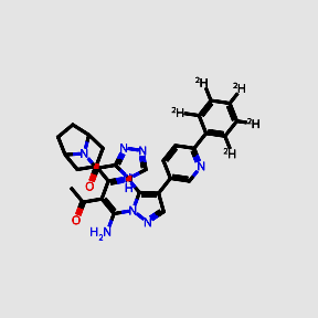 [2H]c1c([2H])c([2H])c(-c2ccc(-c3cnn4c(N)c(C(C)=O)c(C5CC6CCC(C5)N6C(=O)c5nnc[nH]5)nc34)cn2)c([2H])c1[2H]